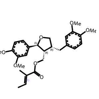 C/C=C(\C)C(=O)OC[C@H]1[C@@H](Cc2ccc(OC)c(OC)c2)CO[C@@H]1c1ccc(OC)c(OC)c1